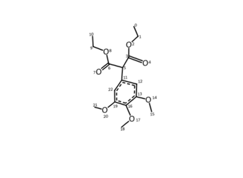 CCOC(=O)C(C(=O)OCC)c1cc(OC)c(OC)c(OC)c1